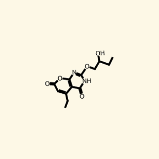 CCc1cc(=O)oc2nc(OCC(O)CC)[nH]c(=O)c12